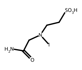 NC(=O)CN(I)CCS(=O)(=O)O